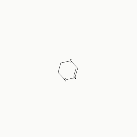 C1=NSCCS1